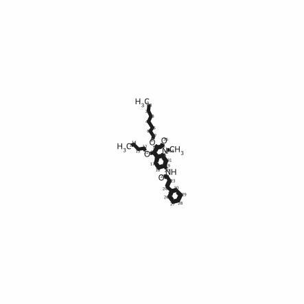 CCCCCCCCOc1c(OCCCC)c2ccc(NC(=O)C=Cc3ccccc3)cc2n(C)c1=O